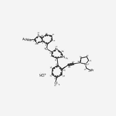 CC(=O)Nc1nc2c(Oc3cc(-c4ccc(C(F)(F)F)cc4C#CC4CCCN4CC(C)C)ncn3)cccc2s1.Cl